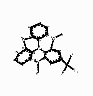 COc1cc(C(F)(F)F)cc(N(C)C)c1N1c2ccccc2Oc2ccccc21